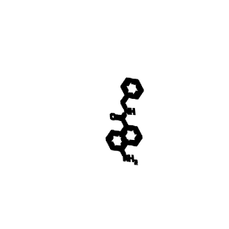 Nc1cccc2c(C(=O)NCc3ccccc3)cccc12